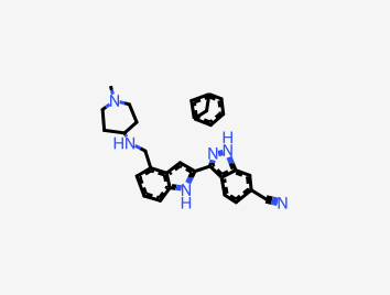 CN1CCC(NCc2cccc3[nH]c(-c4n[nH]c5cc(C#N)ccc45)cc23)CC1.c1cc2cc(c1)C2